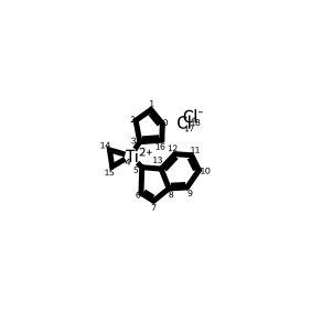 C1=CC[C]([Ti+2]2([CH]3C=Cc4ccccc43)[CH2][CH2]2)=C1.[Cl-].[Cl-]